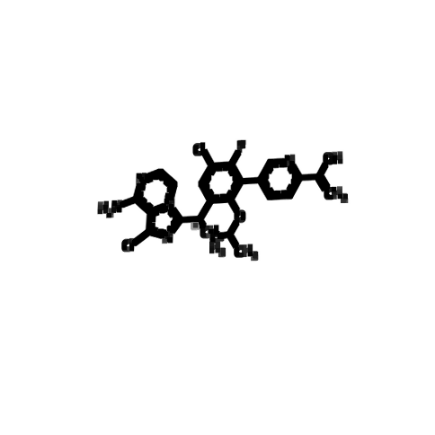 C=C(O)c1ccc(-c2c(F)c(Cl)cc([C@@H](C)c3nc(Cl)c4c(N)nccn34)c2OC(C)C)cn1